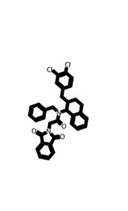 O=C1c2ccccc2C(=O)N1CC(=O)N(Cc1ccccc1)C1c2ccccc2CCC1Cc1ccc(Cl)c(Cl)c1